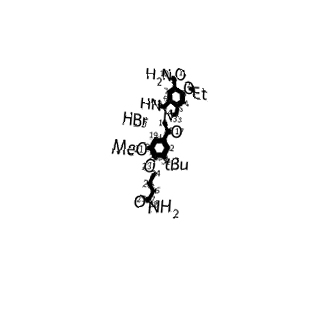 Br.CCOc1cc2c(cc1C(N)=O)C(=N)N(CC(=O)c1cc(OC)c(OCCCC(N)=O)c(C(C)(C)C)c1)C2